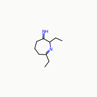 CCC1=NC(CC)C(=N)CCC1